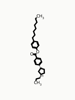 CCCCCCCCc1ccc(OC(=O)c2ccc([C@@H]3CC[C@@H](CCC)C3)cc2)cc1